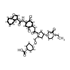 CCN1CCN([C@H]2C[C@@H](CO[C@H]3CC[C@H](C(=O)O)CC3)N(C(=O)Cc3cc(Cl)c(NC(=O)c4coc5ccccc45)cc3Cl)C2)CC1=O